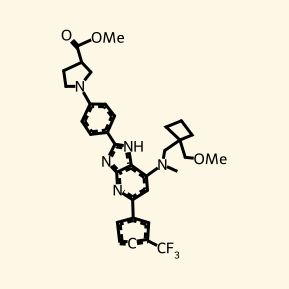 COCC1(CN(C)c2cc(-c3cccc(C(F)(F)F)c3)nc3nc(-c4ccc(N5CCC(C(=O)OC)C5)cc4)[nH]c23)CCC1